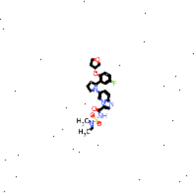 CCN(C)S(=O)(=O)NC(=O)c1cnc2ccc(N3CCCC3c3cc(F)ccc3O[C@@H]3CCOC3)cn12